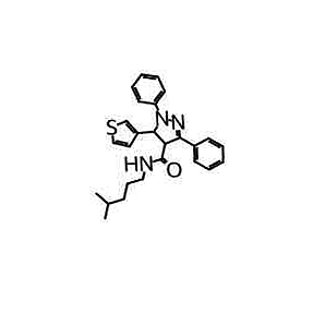 CC(C)CCCNC(=O)C1C(c2ccccc2)=NN(c2ccccc2)C1c1ccsc1